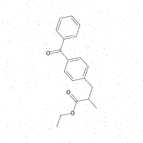 CCOC(=O)C(C)Cc1ccc(C(=O)c2ccccc2)cc1